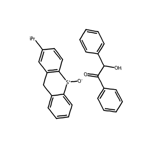 CC(C)c1ccc2c(c1)Cc1ccccc1[S+]2[O-].O=C(c1ccccc1)C(O)c1ccccc1